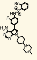 CN1CCN(C2CCC(n3cc(-c4ccc(NS(=O)(=O)c5ccccc5Br)c(F)c4)c4c(N)ncnc43)CC2)CC1